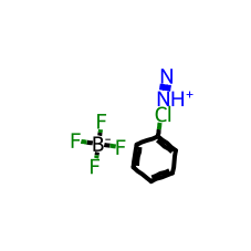 Clc1ccccc1.F[B-](F)(F)F.N#[NH+]